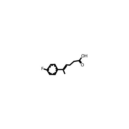 CC(=CCCC(=O)O)c1ccc(F)cc1